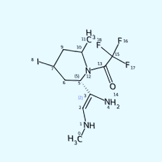 CN/C=C(\N)[C@@H]1CC(I)CC(C)N1C(=O)C(F)(F)F